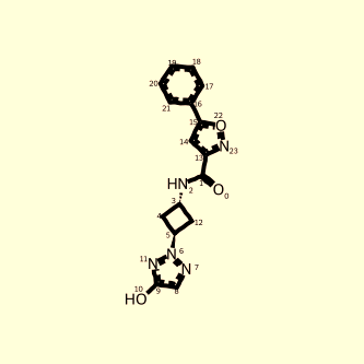 O=C(N[C@H]1C[C@H](n2ncc(O)n2)C1)c1cc(-c2ccccc2)on1